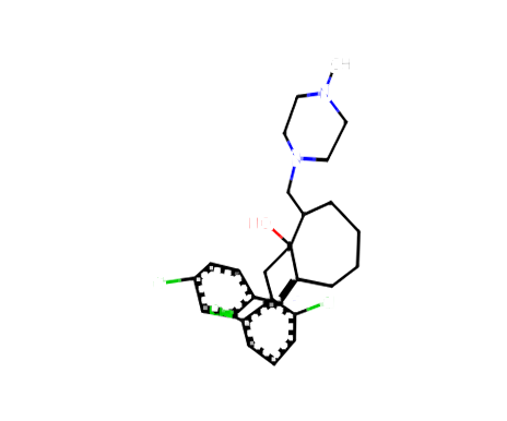 CN1CCN(CC2CCCC/C(=C/c3ccc(Cl)cc3)C2(O)Cc2c(Cl)cccc2Cl)CC1